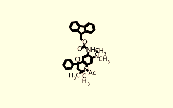 CC(=O)N1c2cc(N(C)C)c(NC(=O)OCC3c4ccccc4-c4ccccc43)cc2C(C)(c2ccccc2)CC1(C)C